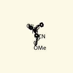 COCCOCCOc1ccc(-c2nc(-c3cc[n+]([O-])cc3)n(COCc3ccccc3)n2)cc1C#N